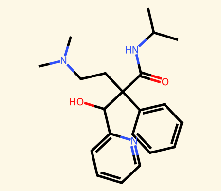 CC(C)NC(=O)C(CCN(C)C)(c1ccccc1)C(O)c1ccccn1